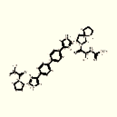 COC(=O)N[C@H](C(=O)N1C[C@]2(CCCO2)C[C@H]1c1nc(-c2ccc(-c3ccc(-c4c[nH]c([C@@H]5CCCN5C(=O)[C@@H](C)C(C)C)n4)cc3)cc2)c[nH]1)C(C)C